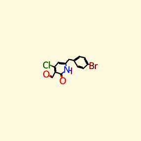 O=Cc1c(Cl)cc(Cc2ccc(Br)cc2)n(I)c1=O